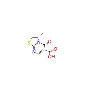 CC1CSc2ncc(C(=O)O)c(=O)n21